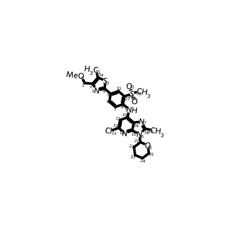 COCc1nc(-c2ccc(Nc3cc(Cl)nc4c3nc(C)n4C3CCCCO3)c(S(C)(=O)=O)c2)sc1C